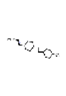 CCCCCC/C=C/[C@H]1CC[C@H](CCC2CCC(C#N)CC2)CC1